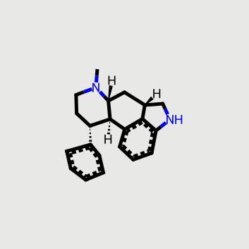 CN1CC[C@@H](c2ccccc2)[C@@H]2c3cccc4c3[C@@H](CN4)C[C@H]21